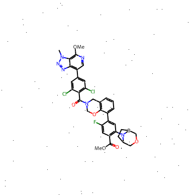 COC(=O)c1cc(F)c(-c2cccc3c2OCN(C(=O)c2c(Cl)cc(-c4cnc(OC)c5c4nnn5C)cc2Cl)C3)cc1N1B2CCC1COC2